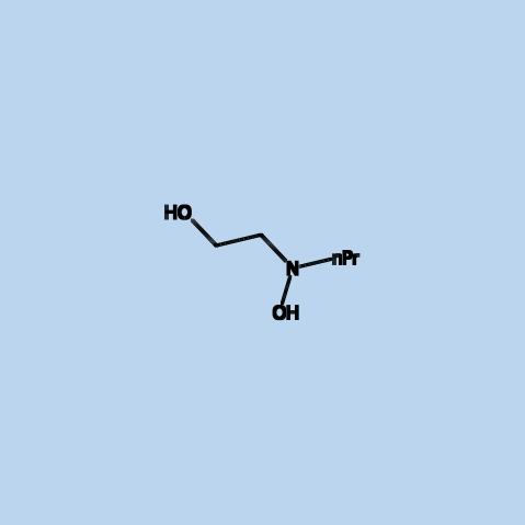 CCCN(O)CCO